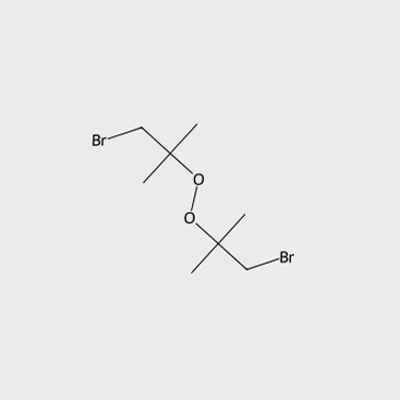 CC(C)(CBr)OOC(C)(C)CBr